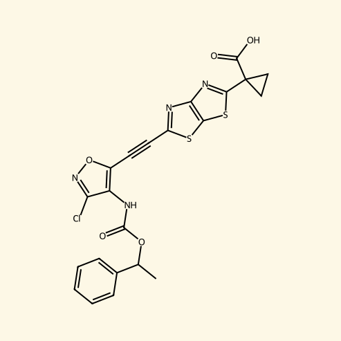 CC(OC(=O)Nc1c(Cl)noc1C#Cc1nc2nc(C3(C(=O)O)CC3)sc2s1)c1ccccc1